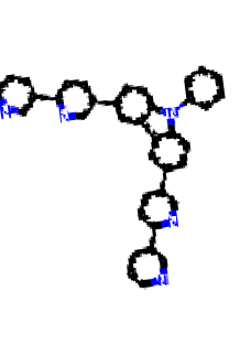 c1ccc(-n2c3ccc(-c4ccc(-c5cccnc5)nc4)cc3c3cc(-c4ccc(-c5cccnc5)nc4)ccc32)cc1